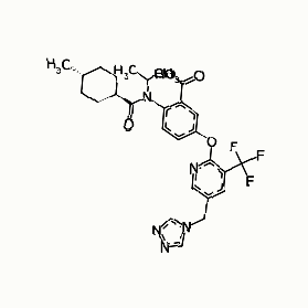 CC(C)N(c1ccc(Oc2ncc(Cn3cnnc3)cc2C(F)(F)F)cc1C(=O)O)C(=O)[C@H]1CC[C@H](C)CC1